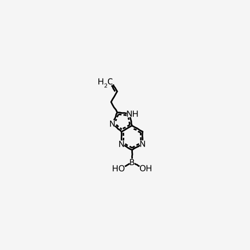 C=CCc1nc2nc(B(O)O)ncc2[nH]1